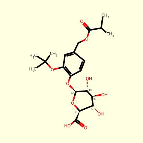 CC(C)C(=O)OCc1ccc(O[C@@H]2O[C@H](C(=O)O)[C@@H](O)[C@H](O)[C@H]2O)c(OC(C)(C)C)c1